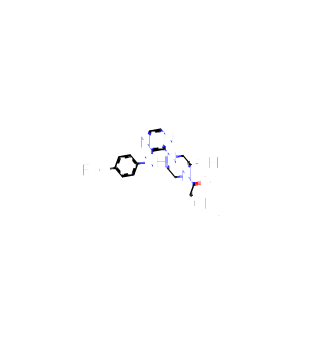 C=CC(=O)N1CCN(c2nccnc2Nc2ccc(C(F)(F)F)cc2)C[C@@H]1C